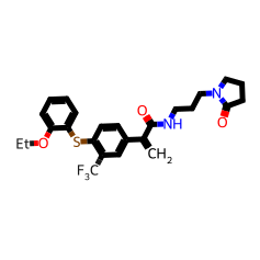 C=C(C(=O)NCCCN1CCCC1=O)c1ccc(Sc2ccccc2OCC)c(C(F)(F)F)c1